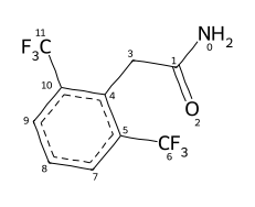 NC(=O)Cc1c(C(F)(F)F)cccc1C(F)(F)F